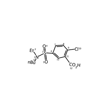 CCCCN(CC)S(=O)(=O)c1ccc(Cl)c(C(=O)O)c1